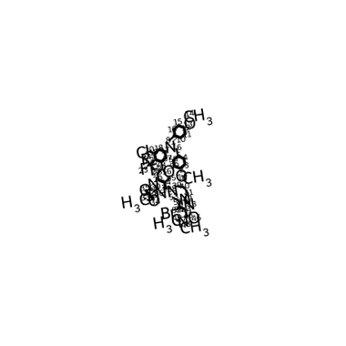 COc1ccc(CN(Cc2ccc(OC)cc2)c2cc(Cl)c(C(F)(F)F)c(C3Cc4nc(S(C)(=O)=O)nc(N5CCCn6nc(C(=O)N(C)C)c(Br)c6C5)c4CO3)c2)cc1